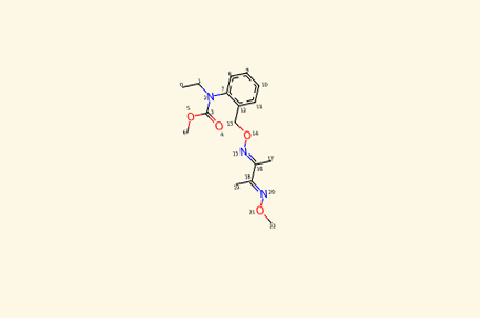 CCN(C(=O)OC)c1ccccc1CO/N=C(C)/C(C)=N/OC